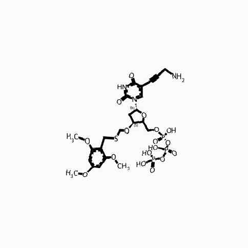 COc1cc(OC)c(CSCO[C@H]2C[C@H](n3cc(C#CCN)c(=O)[nH]c3=O)OC2COP(=O)(O)OP(=O)(O)OP(=O)(O)O)c(OC)c1